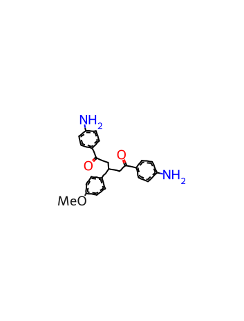 COc1ccc(C(CC(=O)c2ccc(N)cc2)CC(=O)c2ccc(N)cc2)cc1